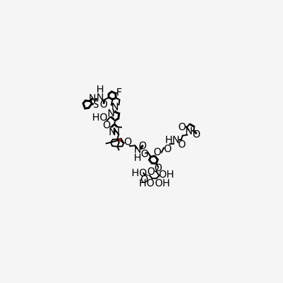 Cc1c(-c2ccc(N3CCc4c(F)ccc(C(=O)Nc5nc6ccccc6s5)c4C3)nc2C(=O)O)cnn1CC12CC3(C)CC(C)(C1)CC(OCCNC(=O)OCc1ccc(O[C@@H]4O[C@H](C(=O)O)[C@@H](O)[C@H](O)[C@H]4O)cc1OCCOCCNC(=O)CCN1C(=O)C=CC1=O)(C3)C2